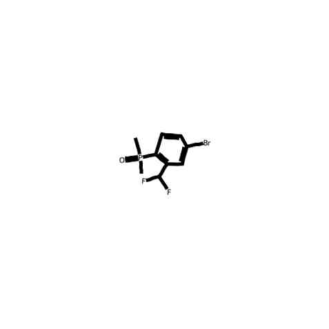 CP(C)(=O)c1ccc(Br)cc1C(F)F